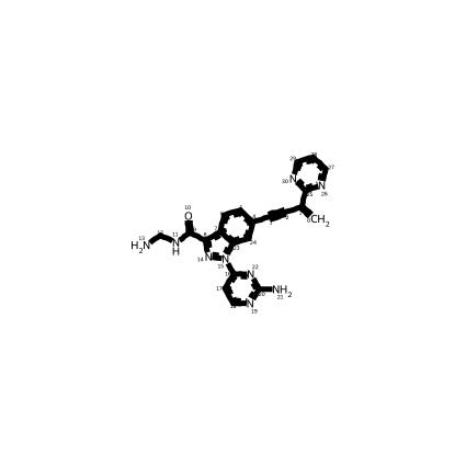 C=C(C#Cc1ccc2c(C(=O)NCN)nn(-c3ccnc(N)n3)c2c1)c1ncccn1